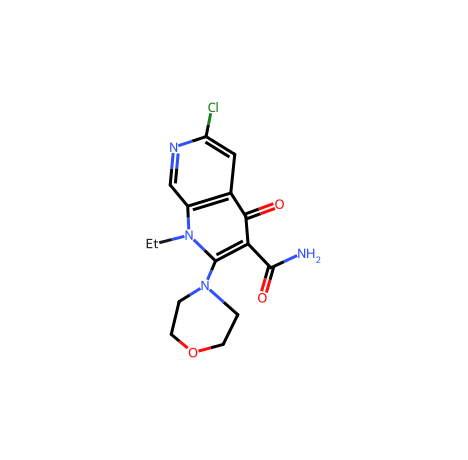 CCn1c(N2CCOCC2)c(C(N)=O)c(=O)c2cc(Cl)ncc21